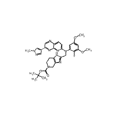 COc1cc(OC)c(F)c(N(Cc2nc3c([nH]2)CCN(C(=O)OC(C)(C)C)C3)c2ccc3ncc(-c4cnn(C)c4)nc3n2)c1